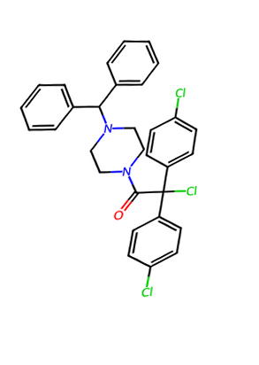 O=C(N1CCN(C(c2ccccc2)c2ccccc2)CC1)C(Cl)(c1ccc(Cl)cc1)c1ccc(Cl)cc1